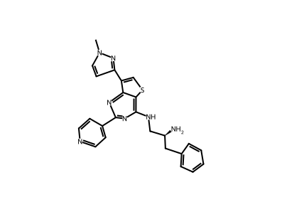 Cn1ccc(-c2csc3c(NC[C@@H](N)Cc4ccccc4)nc(-c4ccncc4)nc23)n1